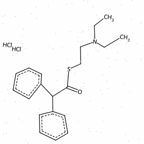 CCN(CC)CCSC(=O)C(c1ccccc1)c1ccccc1.Cl.Cl